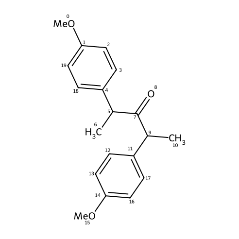 COc1ccc(C(C)C(=O)C(C)c2ccc(OC)cc2)cc1